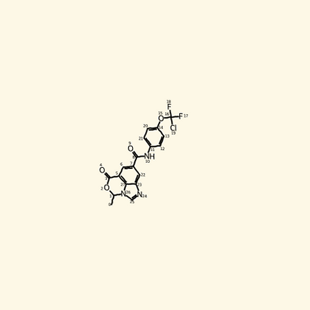 CC1OC(=O)c2cc(C(=O)Nc3ccc(OC(F)(F)Cl)cc3)cc3ncn1c23